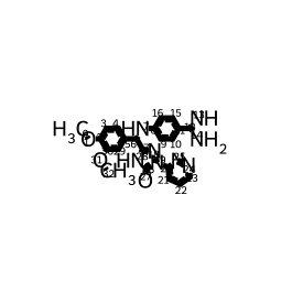 COc1ccc(C(Nc2ccc(C(=N)N)cc2)c2nn(-c3cccnn3)c(=O)[nH]2)cc1OC